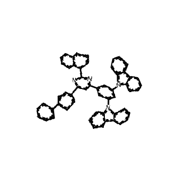 c1ccc(-c2ccc(-c3cc(-c4cc(-n5c6ccccc6c6ccccc65)cc(-n5c6ccccc6c6ccccc65)c4)nc(-c4cccc5ccccc45)n3)cc2)cc1